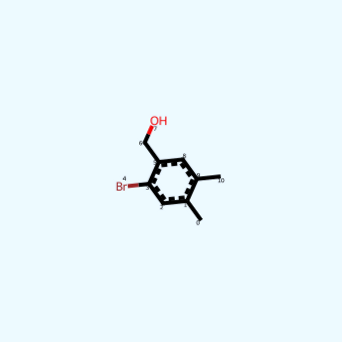 Cc1cc(Br)c(CO)cc1C